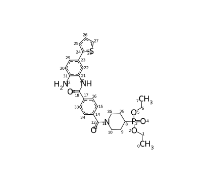 CCOP(=O)(OCC)C1CCN(C(=O)c2ccc(C(=O)Nc3cc(-c4cccs4)ccc3N)cc2)CC1